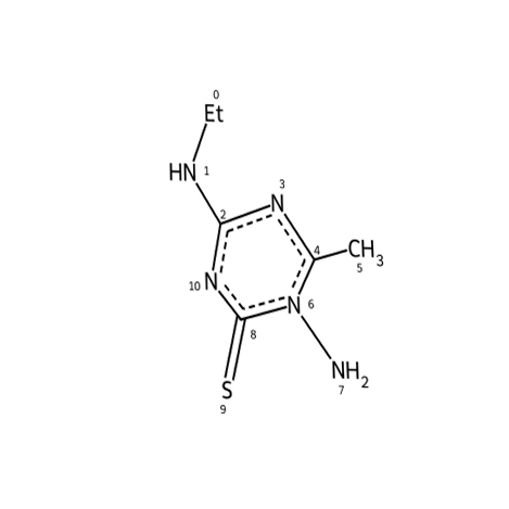 CCNc1nc(C)n(N)c(=S)n1